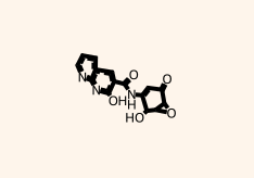 O=C(NC1=CC(=O)C2OC2C1O)c1cc2cccnc2nc1O